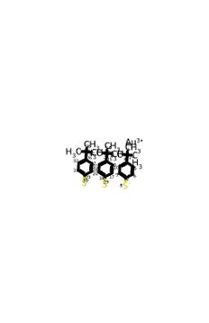 CC(C)(C)c1ccc([S-])cc1.CC(C)(C)c1ccc([S-])cc1.CC(C)(C)c1ccc([S-])cc1.[Au+3]